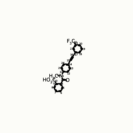 CN(C(=O)c1ccccc1C(=O)O)c1ccc(C#Cc2cccc(C(F)(F)F)c2)cc1